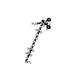 CC(C)(C)[C@H](c1cc(-c2cc(F)ccc2F)cn1Cc1ccccc1)N(CCCN)C(=O)CSCCNC(=O)CCOCCOCCOCCOCCNC(=O)CCNC(=O)CCSCCN